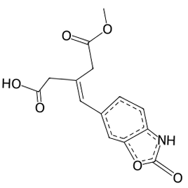 COC(=O)CC(=Cc1ccc2[nH]c(=O)oc2c1)CC(=O)O